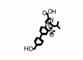 CC(C)Cc1nc(C(=O)O)cn1-c1ccc(-c2ccc(CO)cc2)cc1S(C)(=O)=O